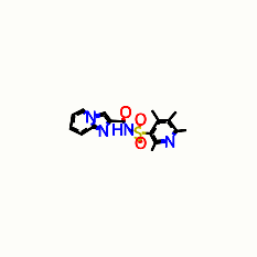 Cc1nc(C)c(S(=O)(=O)NC(=O)c2cn3ccccc3n2)c(C)c1C